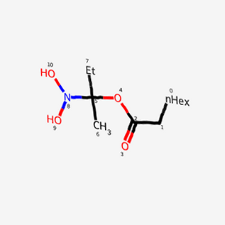 CCCCCCCC(=O)OC(C)(CC)N(O)O